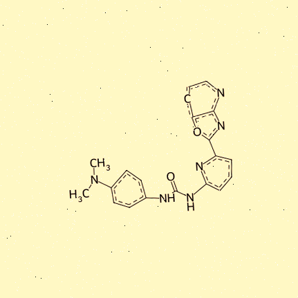 CN(C)c1ccc(NC(=O)Nc2cccc(-c3nc4ncccc4o3)n2)cc1